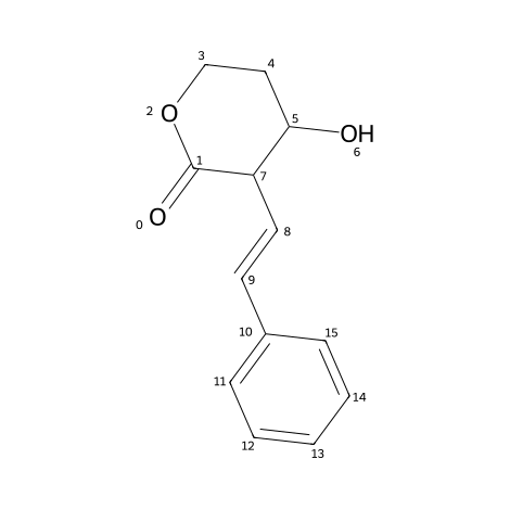 O=C1OCCC(O)C1C=Cc1ccccc1